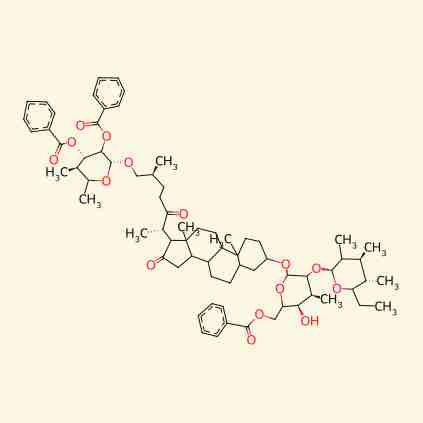 CCC1O[C@@H](OC2[C@H](OC3CCC4(C)C(CCC5C4CCC4(C)C5CC(=O)C4[C@H](C)C(=O)CC[C@H](C)CO[C@@H]4OC(C)[C@@H](C)[C@H](OC(=O)c5ccccc5)C4OC(=O)c4ccccc4)C3)OC(COC(=O)c3ccccc3)[C@H](O)[C@@H]2C)C(C)[C@@H](C)[C@@H]1C